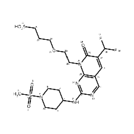 CS(=O)(=O)N1CCC(Nc2ncc3cc(C(F)F)c(=O)n(CCOCCCS(=O)(=O)O)c3n2)CC1